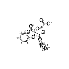 O=C([O-])COC(Oc1ccccc1)(C(=O)[O-])C(=O)[O-].[Na+].[Na+].[Na+]